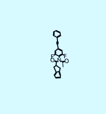 O=C(I)N(C(=O)C1Cc2ccccc2C1)c1c(F)cc(C#Cc2ccccc2)cc1F